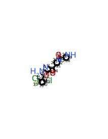 C[C@@H](Oc1c(N)ncc2c(C3=CCN(C(=O)[C@H]4CCCNC4)CC3)coc12)c1c(Cl)ccc(F)c1Cl